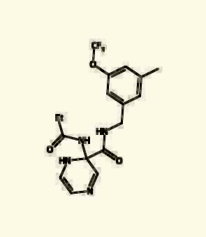 CCC(=O)NC1(C(=O)NCc2cc(C)cc(OC(F)(F)F)c2)C=NC=CN1